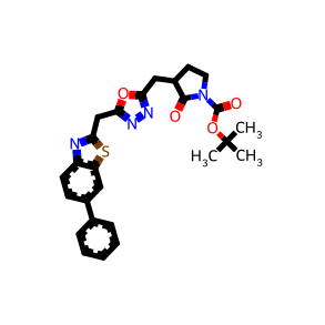 CC(C)(C)OC(=O)N1CCC(Cc2nnc(Cc3nc4ccc(-c5ccccc5)cc4s3)o2)C1=O